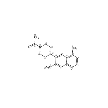 COc1cc2nccc(N)c2cc1C1=CCN(C(=O)C(F)(F)F)CC1